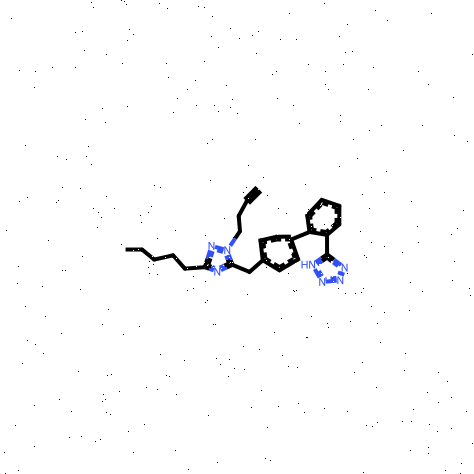 C#CCCn1nc(CCCCC)nc1Cc1ccc(-c2ccccc2-c2nnn[nH]2)cc1